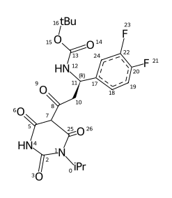 CC(C)N1C(=O)NC(=O)C(C(=O)C[C@@H](NC(=O)OC(C)(C)C)c2ccc(F)c(F)c2)C1=O